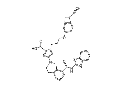 C#CC1Cc2cc(OCCCc3sc(N4CCc5cccc(C(=O)Nc6nc7ccccc7s6)c5C4)nc3C(=O)O)ccc21